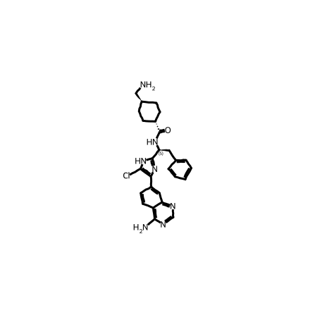 NC[C@H]1CC[C@H](C(=O)N[C@@H](Cc2ccccc2)c2nc(-c3ccc4c(N)ncnc4c3)c(Cl)[nH]2)CC1